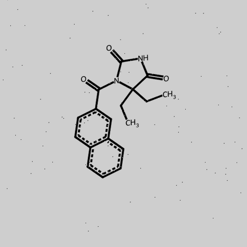 CCC1(CC)C(=O)NC(=O)N1C(=O)c1ccc2ccccc2c1